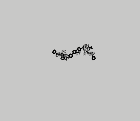 CC(C)[C@H](NOC(=O)c1ccccc1)C(=O)N1CC2(CC2)C[C@H]1c1nc(-c2ccc3c(c2)C(F)(F)c2cc(-c4ccc5nc([C@@H]6[C@H]7CC[C@H](C7)N6C(=O)[C@@H](NOC(=O)c6ccccc6)C(C)C)[nH]c5c4)ccc2-3)c[nH]1